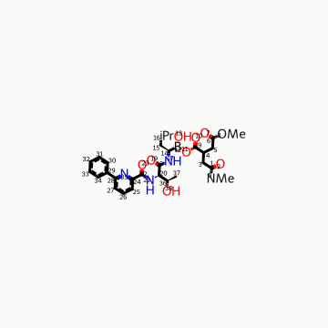 CNC(=O)CC(CC(=O)OC)C(=O)OB(O)[C@H](CC(C)C)NC(=O)[C@@H](NC(=O)c1cccc(-c2ccccc2)n1)[C@@H](C)O